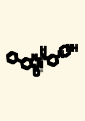 [O-][n+]1nc(Nc2cccc(N3CCNCC3)c2)nc2cc(-c3ccccc3)ccc21